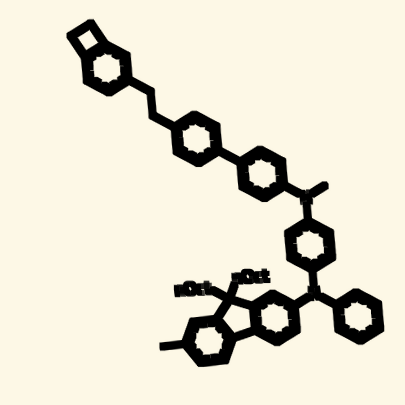 CCCCCCCCC1(CCCCCCCC)c2cc(C)ccc2-c2ccc(N(c3ccccc3)c3ccc(N(C)c4ccc(-c5ccc(CCc6ccc7c(c6)CC7)cc5)cc4)cc3)cc21